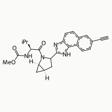 C#Cc1ccc2c(ccc3nc(C4C[C@H]5C[C@H]5N4C(=O)[C@@H](NC(=O)OC)C(C)C)[nH]c32)c1